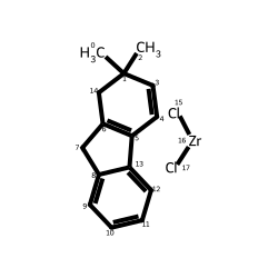 CC1(C)C=CC2=C([CH]c3ccccc32)C1.[Cl][Zr][Cl]